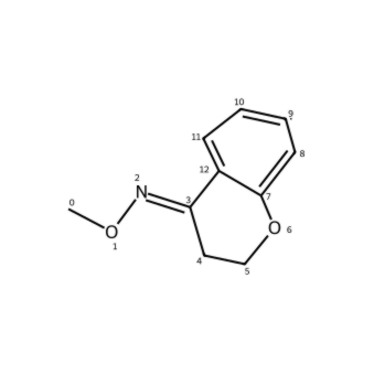 CON=C1CCOc2c[c]ccc21